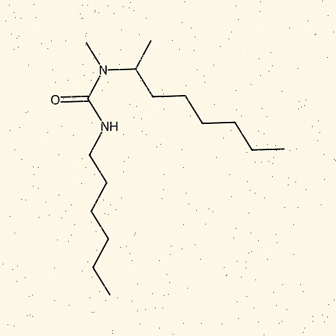 CCCCCCNC(=O)N(C)C(C)CCCCCC